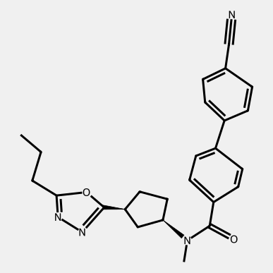 CCCc1nnc([C@H]2CC[C@@H](N(C)C(=O)c3ccc(-c4ccc(C#N)cc4)cc3)C2)o1